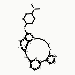 CN(C)C1CCC(Oc2nn3c4cc(ncc24)Nc2ccnc(n2)-c2cn[nH]c2OCCC3)CC1